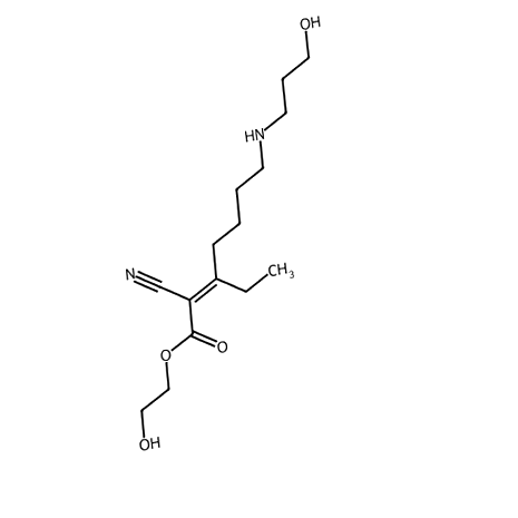 CC/C(CCCCNCCCO)=C(/C#N)C(=O)OCCO